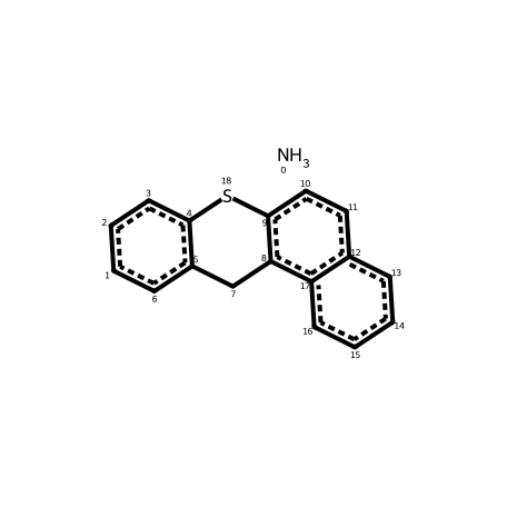 N.c1ccc2c(c1)Cc1c(ccc3ccccc13)S2